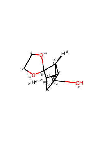 OC1CC2CCC[C@H]3C1[C@@H]2C31OCCO1